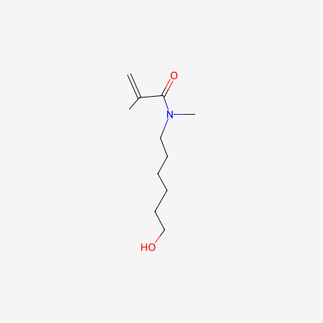 C=C(C)C(=O)N(C)CCCCCCO